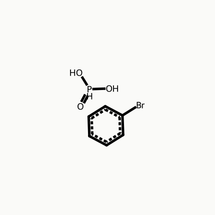 Brc1ccccc1.O=[PH](O)O